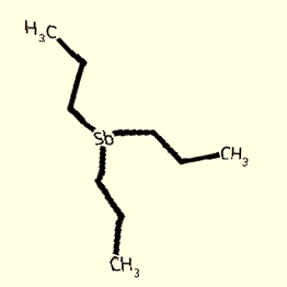 CC[CH2][Sb]([CH2]CC)[CH2]CC